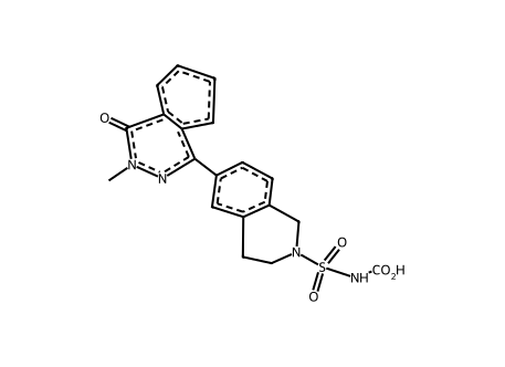 Cn1nc(-c2ccc3c(c2)CCN(S(=O)(=O)NC(=O)O)C3)c2ccccc2c1=O